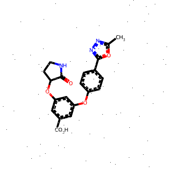 Cc1nnc(-c2ccc(Oc3cc(OC4CCNC4=O)cc(C(=O)O)c3)cc2)o1